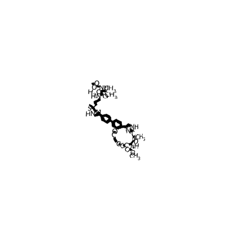 COC(=O)N[C@H]1COCCCCOc2cc(-c3ccc(-c4c[nH]c([C@@]5(CCCNC(=O)[C@](C)(NC6OCO6)C(C)C)CS5)n4)cc3)ccc2-c2c[nH]c(n2)CN(C)C1=O